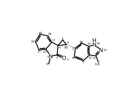 CN1C(=O)C2(C[C@@H]2c2ccc3c(I)n[nH]c3c2)c2ccccc21